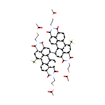 CC(=O)OCCN1C(=O)c2ccc3c4c(-c5cc6c7c(cc(C(F)(F)F)c8c9ccc%10c%11c(ccc(c5c78)c%119)C(=O)N(CCOC(C)=O)C%10=O)C(=O)N(CCOC(C)=O)C6=O)cc5c6c(cc(C(F)(F)F)c(c7ccc(c2c37)C1=O)c64)C(=O)N(CCOC(C)=O)C5=O